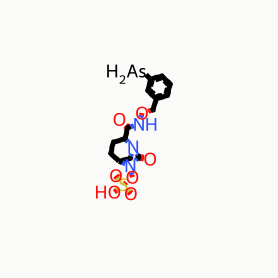 O=C(NOCc1cccc([AsH2])c1)C1CCC2CN1C(=O)N2OS(=O)(=O)O